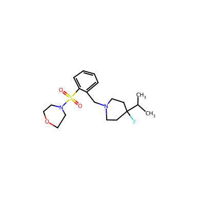 CC(C)C1(F)CCN(Cc2ccccc2S(=O)(=O)N2CCOCC2)CC1